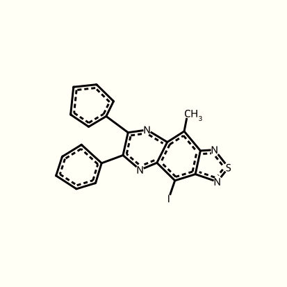 Cc1c2nsnc2c(I)c2nc(-c3ccccc3)c(-c3ccccc3)nc12